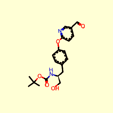 CC(C)(C)OC(=O)N[C@H](CO)Cc1ccc(Oc2ccc(C=O)cn2)cc1